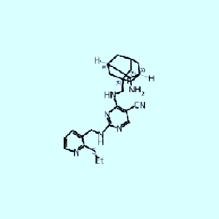 CCSc1ncccc1CNc1ncc(C#N)c(NC[C@]23CC4C[C@H](C2)[C@@H](N)[C@@H](C4)C3)n1